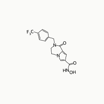 O=C(NO)c1cc2n(c1)CCN(Cc1ccc(C(F)(F)F)cc1)C2=O